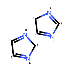 C1=NC=NC1.C1=NCN=C1